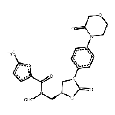 Cc1ccc(C(=O)N(C=O)C[C@H]2CN(c3ccc(N4CCOCC4=O)cc3)C(=O)O2)s1